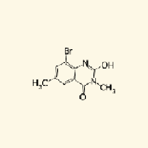 Cc1cc(Br)c2nc(O)n(C)c(=O)c2c1